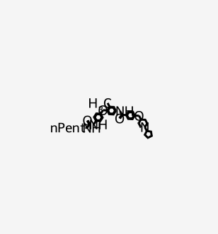 CCCCCNC(=O)Nc1ccc(Oc2ccc(NC(=O)c3ccc(OC4CCN(C5CCCC5)CC4)cc3)cc2C)cc1